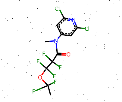 CN(C(=O)C(F)(F)C(F)(F)OC(C)(F)F)c1cc(Cl)nc(Cl)c1